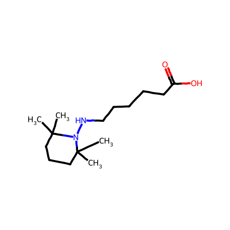 CC1(C)CCCC(C)(C)N1NCCCCCC(=O)O